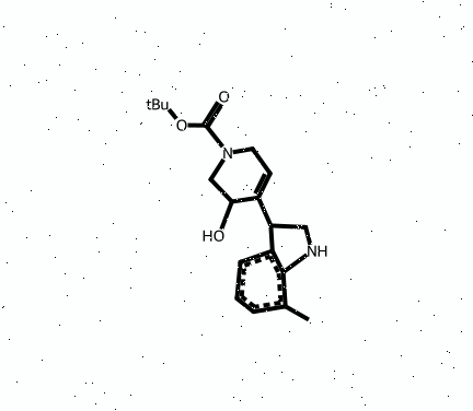 Cc1cccc2c1NCC2C1=CCN(C(=O)OC(C)(C)C)CC1O